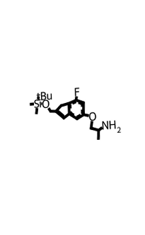 CC(N)COc1cc(F)c2c(c1)C=C(CO[Si](C)(C)C(C)(C)C)C2